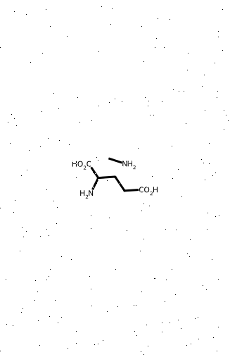 CN.NC(CCC(=O)O)C(=O)O